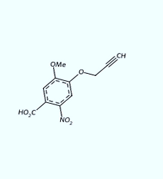 C#CCOc1cc([N+](=O)[O-])c(C(=O)O)cc1OC